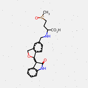 C[S+]([O-])CCC(NCc1ccc2c(c1)COC2=C1C(=O)Nc2ccccc21)C(=O)O